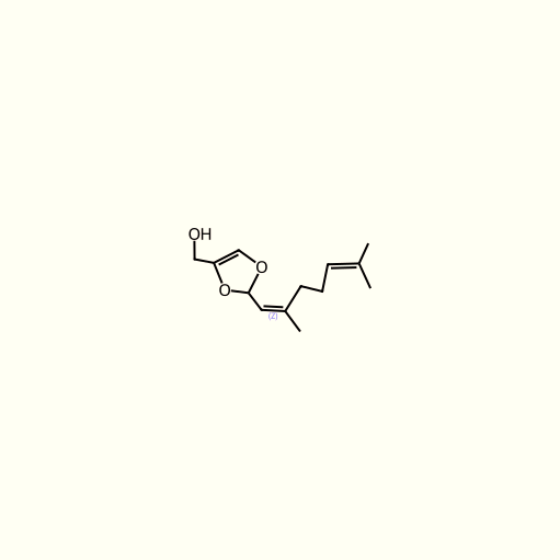 CC(C)=CCC/C(C)=C\C1OC=C(CO)O1